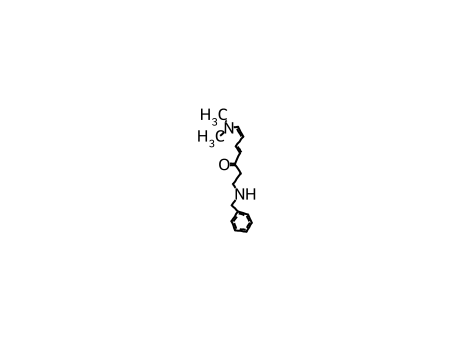 CN(C)/C=C\C=C\C(=O)CCNCc1ccccc1